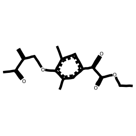 C=C(COc1c(C)cc(C(=O)C(=O)OCC)cc1C)C(C)=O